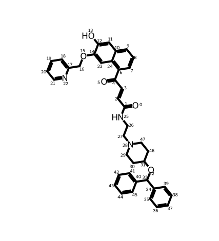 O=C(C=CC(=O)c1cccc2cc(O)c(OCc3ccccn3)cc12)NCCN1CCC(OC(c2ccccc2)c2ccccc2)CC1